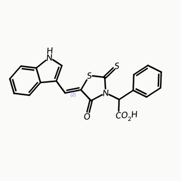 O=C(O)C(c1ccccc1)N1C(=O)/C(=C/c2c[nH]c3ccccc23)SC1=S